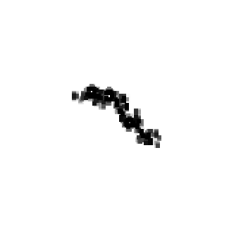 CN(C)C(=O)CCc1n[nH]c2cc(OCCNC[C@H](O)c3cccc(NS(=O)(=O)c4cccc(N)c4)c3)ccc12